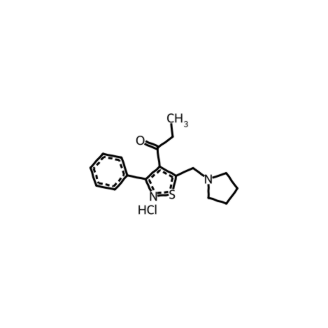 CCC(=O)c1c(-c2ccccc2)nsc1CN1CCCC1.Cl